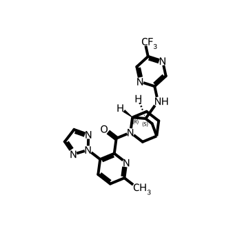 Cc1ccc(-n2nccn2)c(C(=O)N2CC3CC[C@@H]2[C@@H](Nc2cnc(C(F)(F)F)cn2)C3)n1